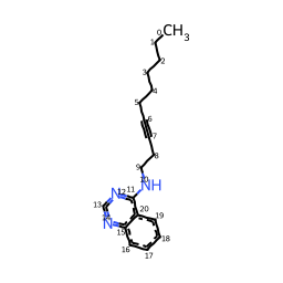 CCCCCCC#CCCNc1ncnc2ccccc12